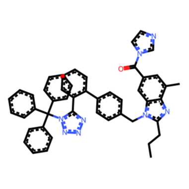 CCCc1nc2c(C)cc(C(=O)n3ccnc3)cc2n1Cc1ccc(-c2ccccc2-c2nnnn2C(c2ccccc2)(c2ccccc2)c2ccccc2)cc1